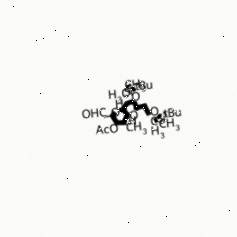 CC(=O)O[C@@H]1[C@@H](C)[C@@H]2OC(CCO[Si](C)(C)C(C)(C)C)C(O[Si](C)(C)C(C)(C)C)C[C@@H]2O[C@H]1CC=O